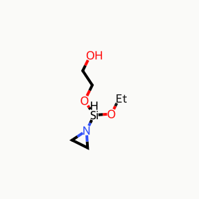 CCO[SiH](OCCO)N1CC1